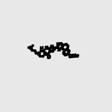 COc1ccc2c(c1)CCc1cnc(-n3cc(C(=O)N4CCN(CCCN(C)C)CC4)c(N)n3)nc1-2